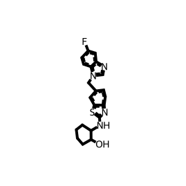 OC1CCCCC1Nc1nc2ccc(Cn3cnc4cc(F)ccc43)cc2s1